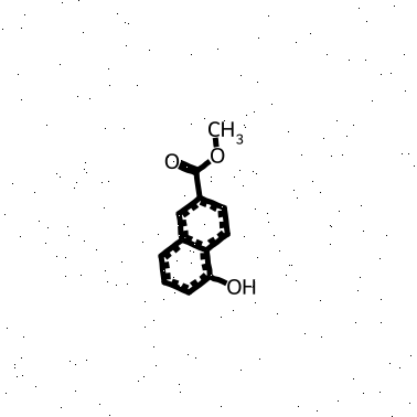 COC(=O)c1ccc2c(O)cccc2c1